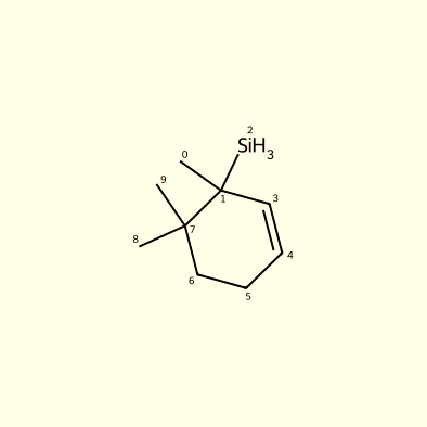 CC1([SiH3])C=CCCC1(C)C